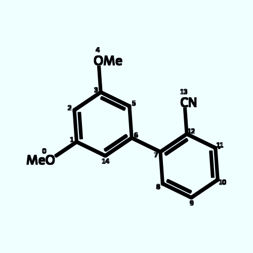 COc1cc(OC)cc(-c2ccc[c]c2C#N)c1